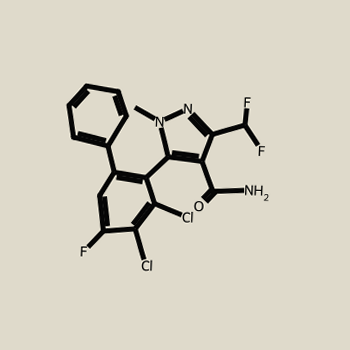 Cn1nc(C(F)F)c(C(N)=O)c1-c1c(-c2ccccc2)cc(F)c(Cl)c1Cl